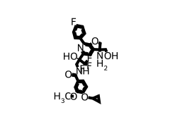 COc1cc(C(=O)NC[C@@](O)(c2cc3c(c(-c4ccc(F)cc4)n2)OCC3(N)CO)C(F)(F)F)ccc1OC1CC1